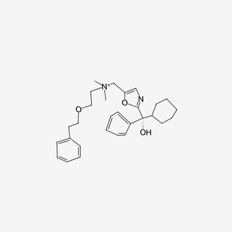 C[N+](C)(CCOCCc1ccccc1)Cc1cnc([C@](O)(c2ccccc2)C2CCCCC2)o1